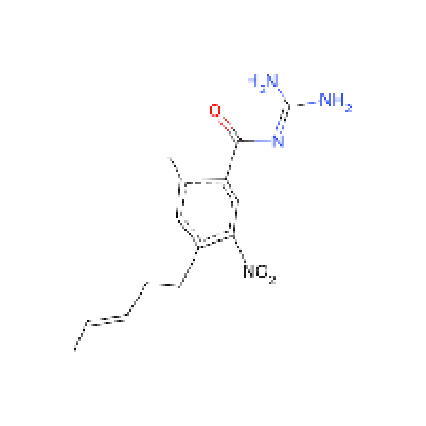 CC=CCCc1cc(C)c(C(=O)N=C(N)N)cc1[N+](=O)[O-]